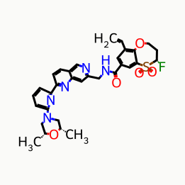 C=Cc1cc(C(=O)NCc2cc3nc(-c4cccc(N5C[C@@H](C)O[C@@H](C)C5)n4)ccc3cn2)cc2c1OCC[C@H](F)S2(=O)=O